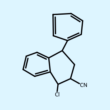 N#CC1CC(c2ccccc2)c2ccccc2C1Cl